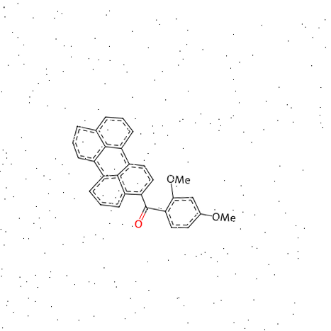 COc1ccc(C(=O)c2ccc3c4cccc5cccc(c6cccc2c63)c54)c(OC)c1